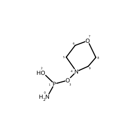 NP(O)ON1CCOCC1